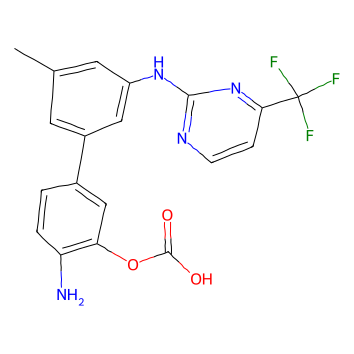 Cc1cc(Nc2nccc(C(F)(F)F)n2)cc(-c2ccc(N)c(OC(=O)O)c2)c1